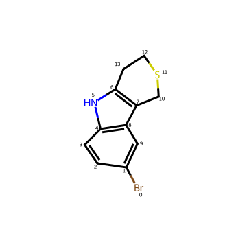 Brc1ccc2[nH]c3c(c2c1)CSCC3